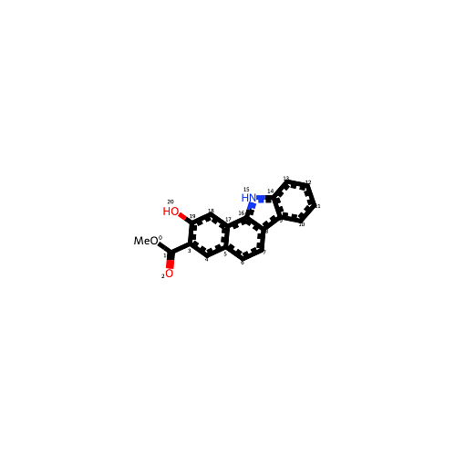 COC(=O)c1cc2ccc3c4ccccc4[nH]c3c2cc1O